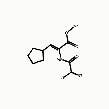 CC(C)OC(=O)C(=CC1CCCC1)NC(=O)C(Cl)Cl